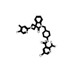 Cc1cc(N2CC3(C2)C(=O)N(CC2CCC(NC(=O)c4cc(Cl)cnc4C(F)F)CC2)c2ccccc23)ncc1F